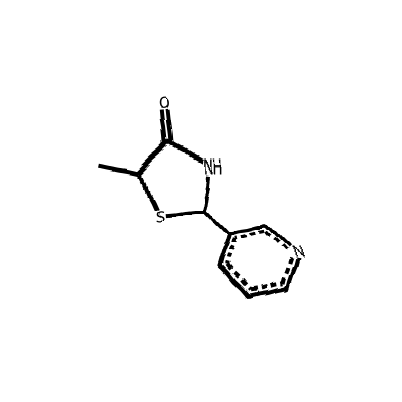 CC1SC(c2cccnc2)NC1=O